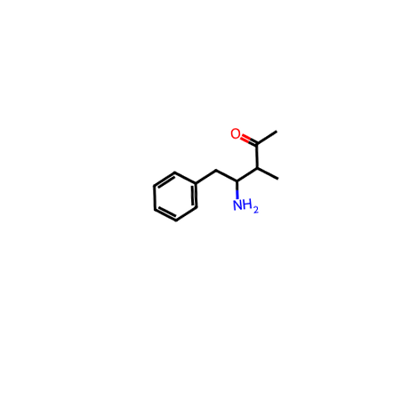 CC(=O)C(C)C(N)Cc1ccccc1